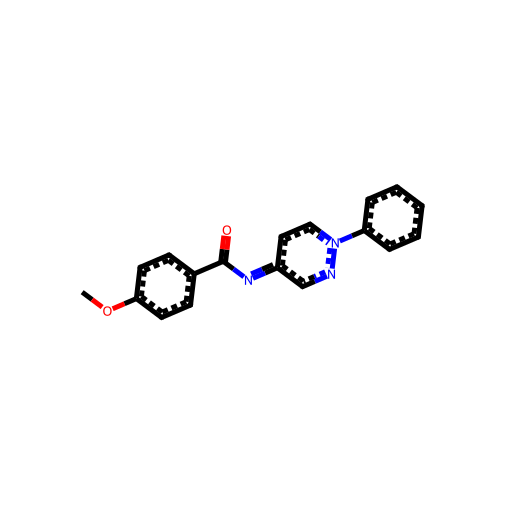 COc1ccc(C(=O)/N=c2\ccn(-c3ccccc3)nc2)cc1